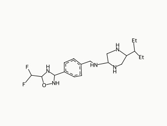 CCC(CC)C1CNC(NCc2ccc(C3NOC(C(F)F)N3)cc2)CN1